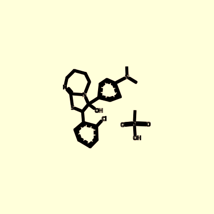 CN(C)c1ccc(C2(O)C(c3ccccc3Cl)SC3=NCCCCN32)cc1.CS(=O)(=O)O